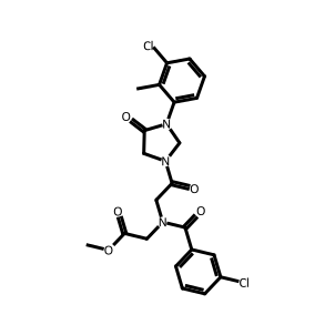 COC(=O)CN(CC(=O)N1CC(=O)N(c2cccc(Cl)c2C)C1)C(=O)c1cccc(Cl)c1